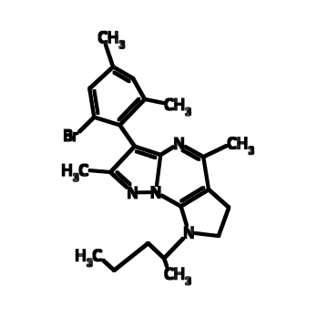 CCCC(C)N1CCc2c(C)nc3c(-c4c(C)cc(C)cc4Br)c(C)nn3c21